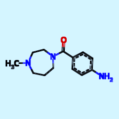 CN1CCCN(C(=O)c2ccc(N)cc2)CC1